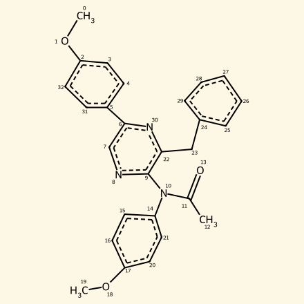 COc1ccc(-c2cnc(N(C(C)=O)c3ccc(OC)cc3)c(Cc3ccccc3)n2)cc1